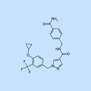 NC(=O)c1ccc(CNC(=O)c2cnn(Cc3ccc(OC4CC4)c(C(F)(F)F)c3)c2)cc1